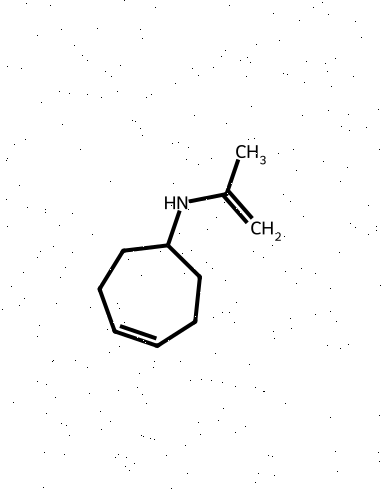 C=C(C)NC1CCC=CCC1